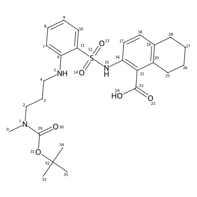 CN(CCCNc1ccccc1S(=O)(=O)Nc1ccc2c(c1C(=O)O)CCCC2)C(=O)OC(C)(C)C